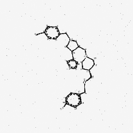 Cc1ccc(CN2CC(CN3CCC(COCc4ccc(F)cc4)CC3)C(c3ccsc3)C2)cc1